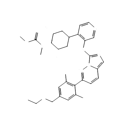 CCOCc1cc(F)c(-c2ccc3cnc(Nc4cnccc4C4C[C@@H](N)[C@@H](N(C)C(=O)OC)[C@@H](C)C4)n3n2)c(F)c1